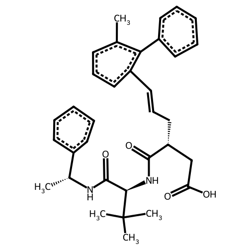 Cc1cccc(C=CC[C@H](CC(=O)O)C(=O)N[C@H](C(=O)N[C@H](C)c2ccccc2)C(C)(C)C)c1-c1ccccc1